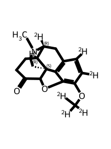 [2H]c1c([2H])c(OC([2H])([2H])[2H])c2c3c1C[C@]1([2H])[C@@H]4CCC(=O)C(O2)[C@]34CCN1C